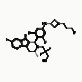 C[C@@H]1Cc2c([nH]c3cc(I)ccc23)[C@@H](c2c(F)cc(NC3CN(CCCF)C3)cc2F)N1CC(F)(F)CO